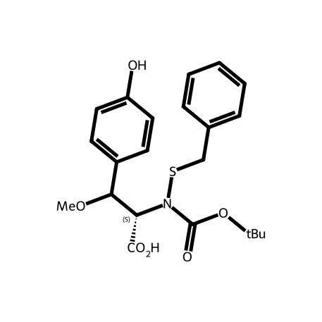 COC(c1ccc(O)cc1)[C@@H](C(=O)O)N(SCc1ccccc1)C(=O)OC(C)(C)C